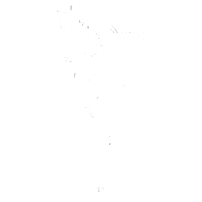 CCOc1cc(OCCCC(F)(F)F)ccc1-c1cc(-c2ncc(C3CC3)s2)c(-c2nnn[nH]2)c(=O)[nH]1